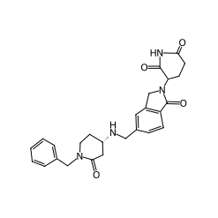 O=C1CCC(N2Cc3cc(CN[C@H]4CCN(Cc5ccccc5)C(=O)C4)ccc3C2=O)C(=O)N1